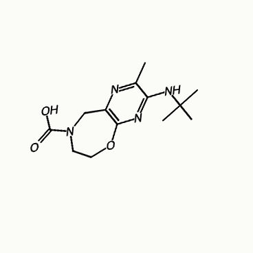 Cc1nc2c(nc1NC(C)(C)C)OCCN(C(=O)O)C2